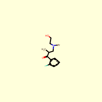 CC(CN(CCO)C(C)C)C(=O)c1ccccc1F